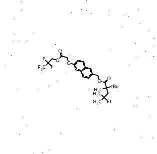 CCC(C)(C)CC(C)(C(=O)OCc1ccc2cc(OCC(=O)OCC(F)(F)C(F)(F)F)ccc2c1)C(C)(C)C